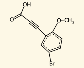 COc1ccc(Br)cc1C#CC(=O)O